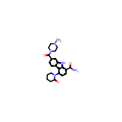 CN1CCN(C(=O)c2ccc3c(c2)[nH]c2c(C(N)=O)ccc(N4CCCCC4=O)c23)CC1